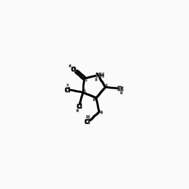 CCC1NC(=O)C(Cl)(Cl)C1CCl